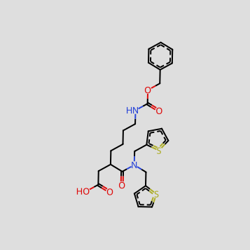 O=C(O)CC(CCCCNC(=O)OCc1ccccc1)C(=O)N(Cc1cccs1)Cc1cccs1